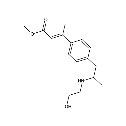 COC(=O)C=C(C)c1ccc(CC(C)NCCO)cc1